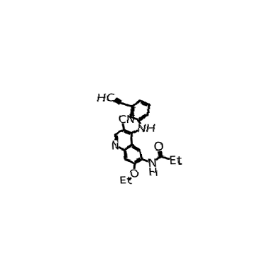 C#Cc1cccc(Nc2c(C#N)cnc3cc(OCC)c(NC(=O)CC)cc23)c1